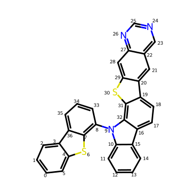 c1ccc2c(c1)sc1c(-n3c4ccccc4c4ccc5c6cc7cncnc7cc6sc5c43)cccc12